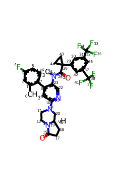 Cc1cc(F)ccc1-c1cc(N2CCN3C(=O)CC[C@@H]3C2)ncc1N(C)C(=O)C1(c2cc(C(F)(F)F)cc(C(F)(F)F)c2)CC1